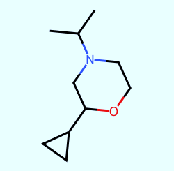 CC(C)N1CCOC(C2CC2)C1